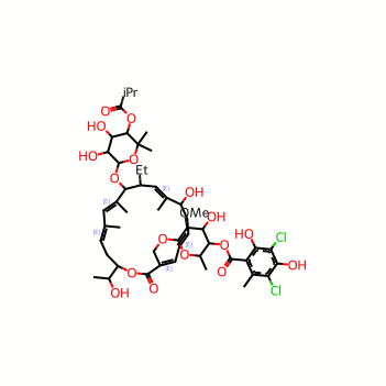 CCC1/C=C(\C)C(O)C/C=C/C=C(\COC2OC(C)C(OC(=O)c3c(C)c(Cl)c(O)c(Cl)c3O)C(O)C2OC)C(=O)OC(C(C)O)C/C=C(C)/C=C(\C)C1OC1OC(C)(C)C(OC(=O)C(C)C)C(O)C1O